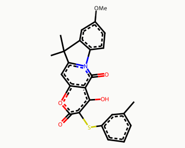 COc1ccc2c(c1)C(C)(C)c1cc3oc(=O)c(Sc4cccc(C)c4)c(O)c3c(=O)n1-2